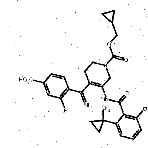 N=C(C1=C(NC(=O)c2c(Cl)cccc2C2(C(F)(F)F)CC2)CN(C(=O)OCC2CC2)CC1)c1ccc(C(=O)O)cc1F